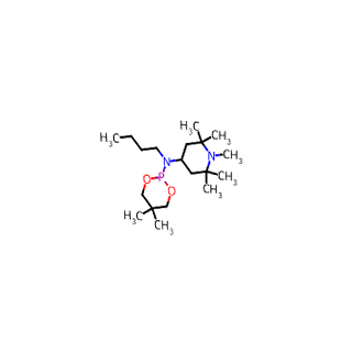 CCCCN(C1CC(C)(C)N(C)C(C)(C)C1)P1OCC(C)(C)CO1